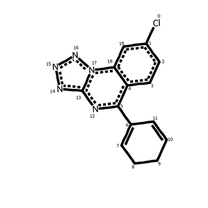 Clc1ccc2c(C3=CCCC=C3)nc3nnnn3c2c1